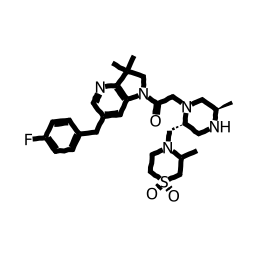 CC1CS(=O)(=O)CCN1C[C@H]1CN[C@H](C)CN1CC(=O)N1CC(C)(C)c2ncc(Cc3ccc(F)cc3)cc21